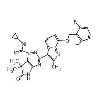 Cc1nc2c(OCc3c(F)cccc3F)cccn2c1-c1nc2c(c(C(=O)NC3CC3)n1)C(C)(C)C(=O)N2